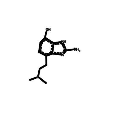 CN(C)CCc1ccc(O)c2[nH]c(N)nc12